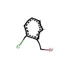 Clc1ccc[c]c1CBr